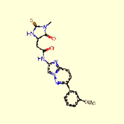 COc1cccc(-c2ccc3nc(NC(=O)CC4NC(=S)N(C)C4=O)cn3n2)c1